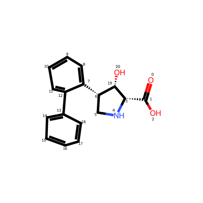 O=C(O)[C@@H]1NC[C@H](c2ccccc2-c2ccccc2)[C@@H]1O